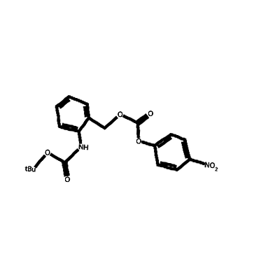 CC(C)(C)OC(=O)Nc1ccccc1COC(=O)Oc1ccc([N+](=O)[O-])cc1